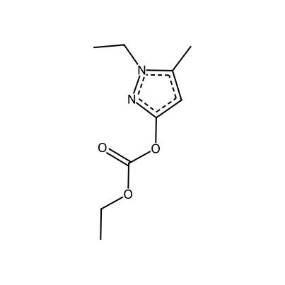 CCOC(=O)Oc1cc(C)n(CC)n1